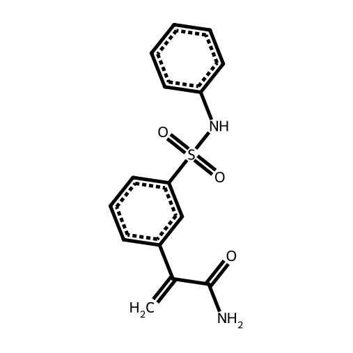 C=C(C(N)=O)c1cccc(S(=O)(=O)Nc2ccccc2)c1